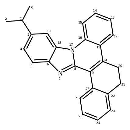 CC(C)c1ccc2nc3c4c(c5ccccc5n3c2c1)CCc1ccccc1-4